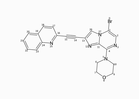 Brc1cnc(N2CCOCC2)c2nc(C#Cc3ccc4ccccc4n3)cn12